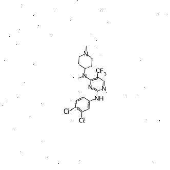 CN1CCC(N(C)c2nc(Nc3ccc(Cl)c(Cl)c3)ncc2C(F)(F)F)CC1